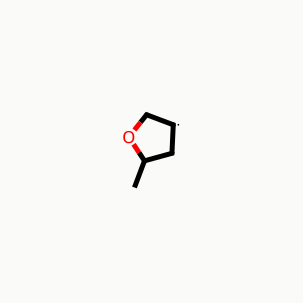 CC1C[CH]CO1